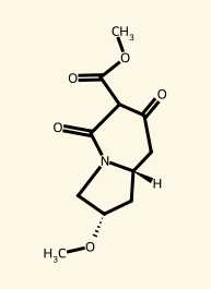 COC(=O)C1C(=O)C[C@@H]2C[C@H](OC)CN2C1=O